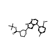 COc1ccc(F)cc1-c1ccnc2[nH]c(C3CN(C(=O)OC(C)(C)C)CCO3)cc12